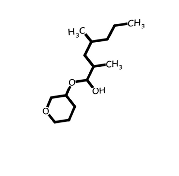 CCCC(C)CC(C)C(O)OC1CCCOC1